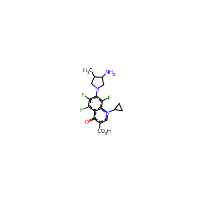 CC1CN(c2c(F)c(F)c3c(=O)c(C(=O)O)cn(C4CC4)c3c2F)CC1N